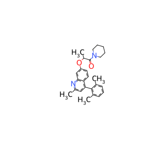 Cc1cc(-c2c(C)cccc2C)c2ccc(OC(C)C(=O)N3CCCCC3)cc2n1